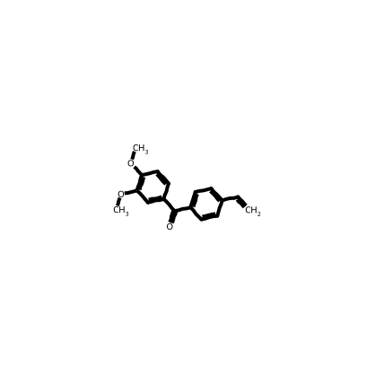 C=Cc1ccc(C(=O)c2ccc(OC)c(OC)c2)cc1